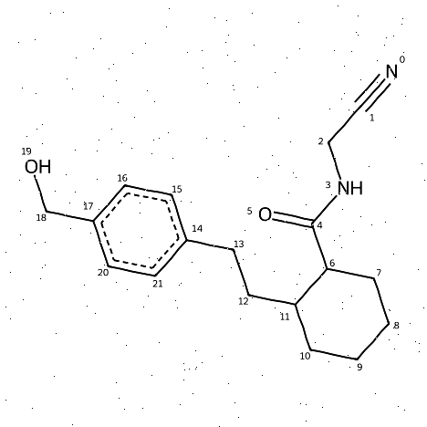 N#CCNC(=O)C1CCCCC1CCc1ccc(CO)cc1